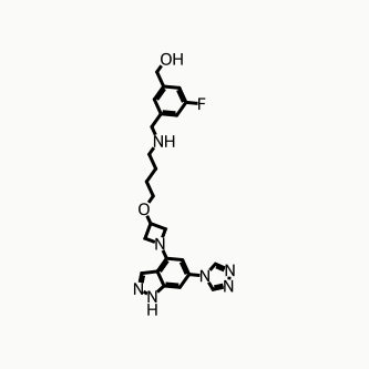 OCc1cc(F)cc(CNCCCCOC2CN(c3cc(-n4cnnc4)cc4[nH]ncc34)C2)c1